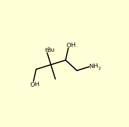 CC(C)(C)C(C)(CO)C(O)CN